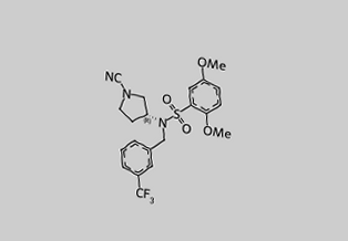 COc1ccc(OC)c(S(=O)(=O)N(Cc2cccc(C(F)(F)F)c2)[C@@H]2CCN(C#N)C2)c1